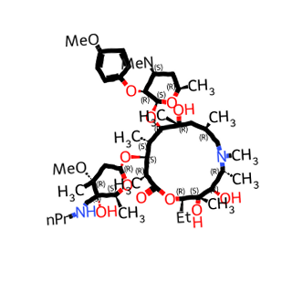 CCCNC[C@]1(O)[C@H](C)O[C@@H](O[C@H]2[C@H](C)[C@@H](O[C@@H]3O[C@H](C)C[C@H](NC)[C@H]3Oc3ccc(OC)cc3)[C@](C)(O)C[C@@H](C)CN(C)[C@H](C)[C@@H](O)[C@](C)(O)[C@@H](CC)OC(=O)[C@@H]2C)C[C@@]1(C)OC